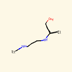 CCNCCNC(CC)CO